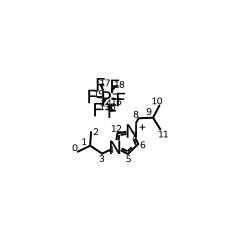 CC(C)Cn1cc[n+](CC(C)C)c1.F[P-](F)(F)(F)(F)F